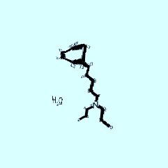 CCCN(CCC)CCCCCc1ccccc1.O